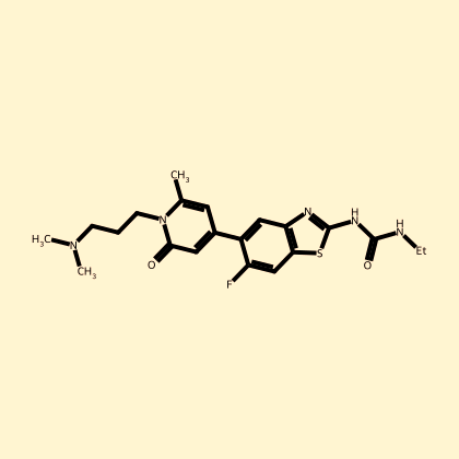 CCNC(=O)Nc1nc2cc(-c3cc(C)n(CCCN(C)C)c(=O)c3)c(F)cc2s1